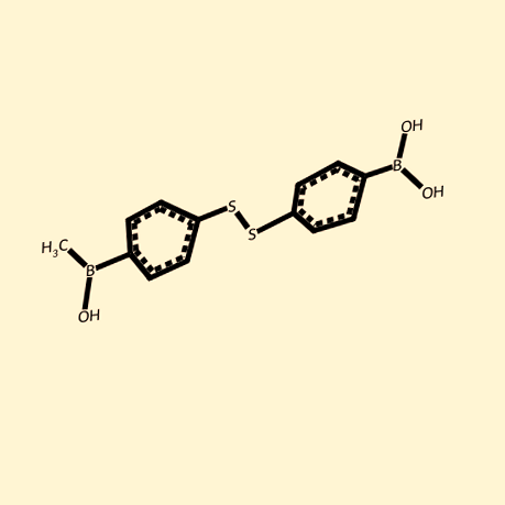 CB(O)c1ccc(SSc2ccc(B(O)O)cc2)cc1